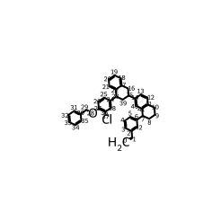 C=Cc1cccc(C2CCCc3ccc(C4Cc5ccccc5C(c5ccc(OCc6ccccc6)c(Cl)c5)C4)cc32)c1